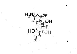 C=CC[C@@H](CO)[C@@H](O)C(F)(F)[C@@H](O)n1ccc(N)nc1=O